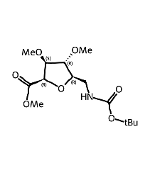 COC(=O)[C@@H]1O[C@H](CNC(=O)OC(C)(C)C)[C@@H](OC)[C@@H]1OC